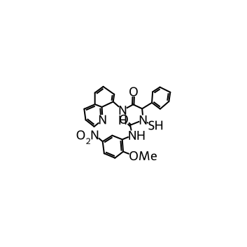 COc1ccc([N+](=O)[O-])cc1NC(=O)N(S)C(C(=O)Nc1cccc2cccnc12)c1ccccc1